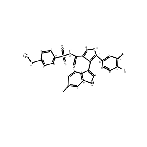 Cc1ccc2c(-c3c(C(=O)NS(=O)(=O)c4ccc(OC(F)(F)F)cc4)noc3-c3ccc(Cl)c(Cl)c3)c[nH]c2c1